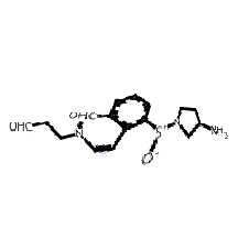 CN(/C=C\c1c(C=O)cccc1[S+]([O-])N1CCC(N)C1)CCC=O